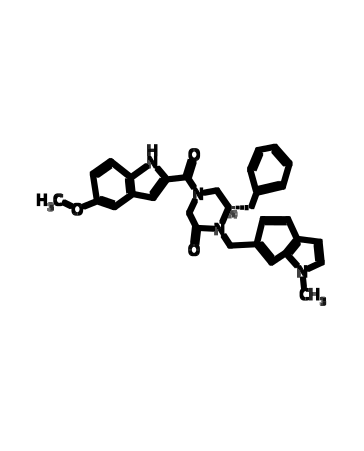 COc1ccc2[nH]c(C(=O)N3CC(=O)N(Cc4ccc5ccn(C)c5c4)[C@@H](Cc4ccccc4)C3)cc2c1